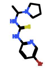 CC(NC(=S)Nc1ccc(Br)cn1)N1CCCC1